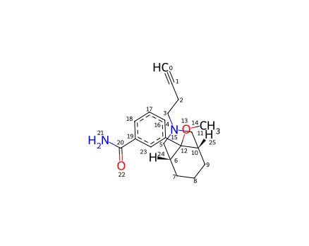 C#CCCN1C[C@H]2CCC[C@@H](C1)C2(OC)c1cccc(C(N)=O)c1